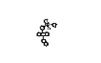 O=c1n(-c2ccccc2)c2ccccc2n1-c1cccc(-c2c3ccccc3c(-c3ccc4ccccc4c3)c3ccccc23)c1